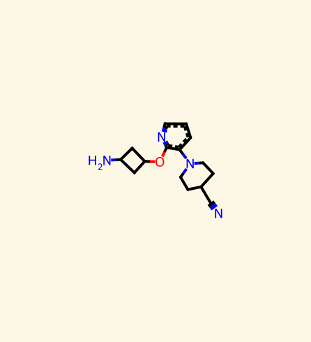 N#CC1CCN(c2cccnc2OC2CC(N)C2)CC1